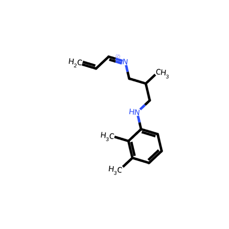 C=C/C=N\CC(C)CNc1cccc(C)c1C